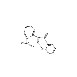 O=c1c(-c2ccccc2[N+](=O)[O-])coc2ccccc12